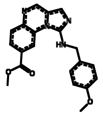 COC(=O)c1ccc2ncc3cnc(NCc4ccc(OC)cc4)n3c2c1